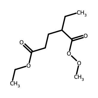 CCOC(=O)CCC(CC)C(=O)OOC